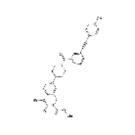 CC(C)(C)OC(=O)N(Cc1cccc(C2CCN(C(=O)c3cccc(C#Cc4ccc(O)cc4)c3)CC2)c1)C(=O)OC(C)(C)C